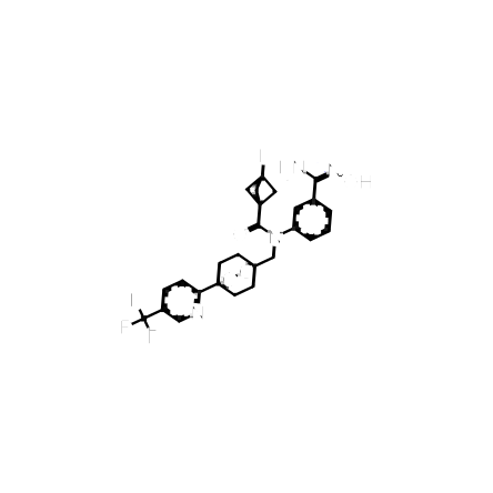 N/C(=N/O)c1cccc(N(CC23CCC(c4ccc(C(F)(F)F)cn4)(CC2)CC3)C(=O)C23CC(F)(C2)C3)c1